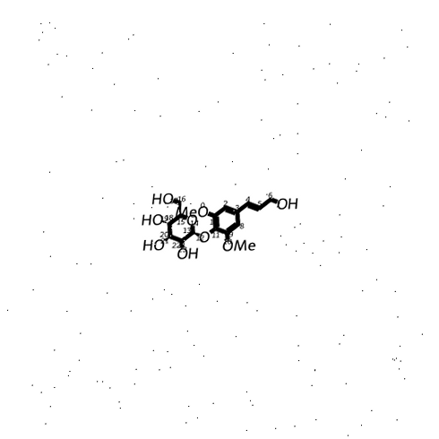 COc1cc(C=CCO)cc(OC)c1O[C@@H]1O[C@H](CO)[C@@H](O)[C@H](O)C1O